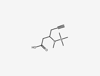 C#CCC(CC(=O)O)N(C)[Si](C)(C)C